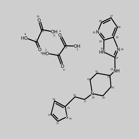 O=C(O)C(=O)O.O=C(O)C(=O)O.c1csc(CCN2CCC(Nc3nc4cccnc4[nH]3)CC2)c1